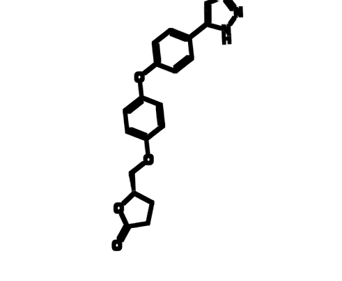 O=C1CC[C@H](COc2ccc(Oc3ccc(-c4ccn[nH]4)cc3)cc2)O1